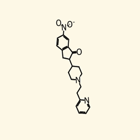 O=C1c2cc([N+](=O)[O-])ccc2CC1C1CCN(CCc2ccccn2)CC1